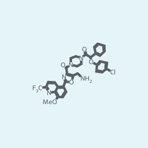 COc1ccc(-c2nc(C(=O)N3CCN(C(=O)C(Oc4ccc(Cl)cc4)c4ccccc4)CC3)c(CN)o2)c2ccc(C(F)(F)F)nc12